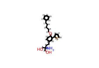 NC(CO)(CO)CCc1ccc(OCCCCCc2ccccc2)c(-c2cccs2)c1